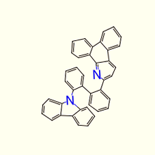 c1ccc(-c2ccccc2-n2c3ccccc3c3ccccc32)c(-c2ccc3c4ccccc4c4ccccc4c3n2)c1